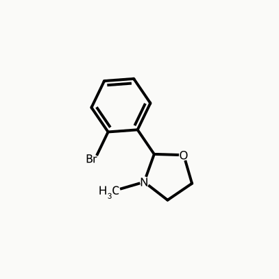 CN1CCOC1c1ccccc1Br